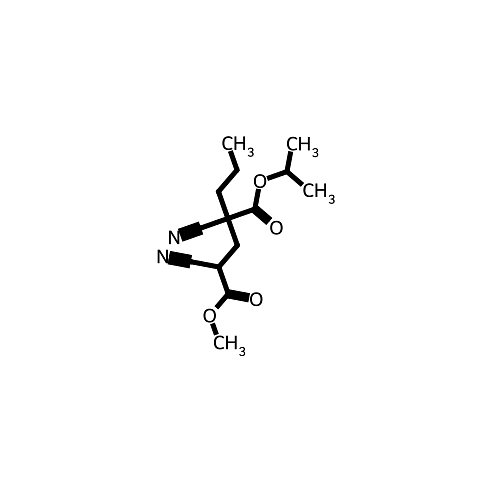 CCCC(C#N)(CC(C#N)C(=O)OC)C(=O)OC(C)C